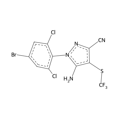 N#Cc1nn(-c2c(Cl)cc(Br)cc2Cl)c(N)c1SC(F)(F)F